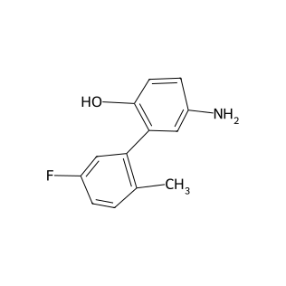 Cc1ccc(F)cc1-c1cc(N)ccc1O